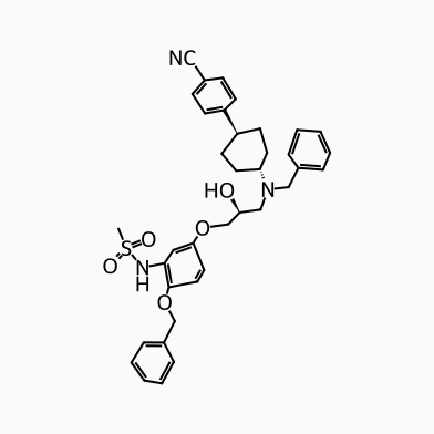 CS(=O)(=O)Nc1cc(OC[C@@H](O)CN(Cc2ccccc2)[C@H]2CC[C@H](c3ccc(C#N)cc3)CC2)ccc1OCc1ccccc1